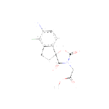 CC(C)(C)OC(=O)CN1C(=O)OC2(CCc3c2ccc(N)c3F)C1=O